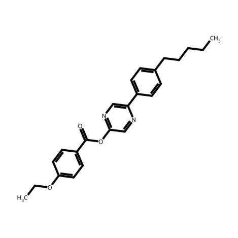 CCCCCc1ccc(-c2cnc(OC(=O)c3ccc(OCC)cc3)cn2)cc1